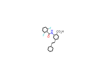 O=C(O)c1ccc(C=Cc2ccccc2)cc1NC(=O)c1c(F)cccc1F